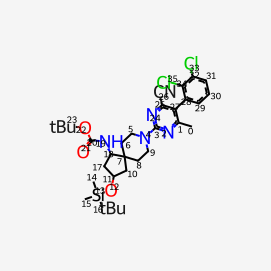 Cc1nc(N2CCC3(CC2)CC(O[Si](C)(C)C(C)(C)C)C[C@H]3NC(=O)OC(C)(C)C)nc(C#N)c1-c1cccc(Cl)c1Cl